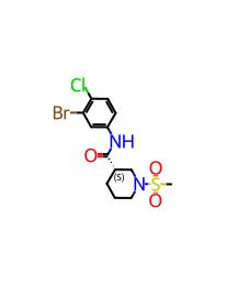 CS(=O)(=O)N1CCC[C@H](C(=O)Nc2ccc(Cl)c(Br)c2)C1